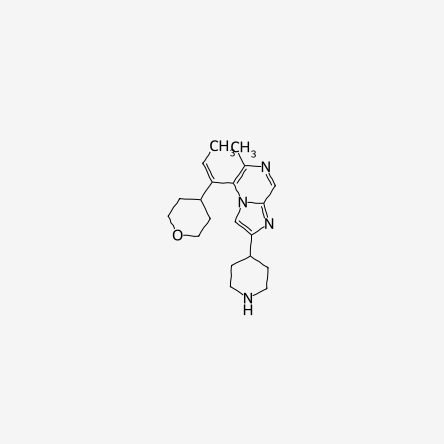 C/C=C(\c1c(C)ncc2nc(C3CCNCC3)cn12)C1CCOCC1